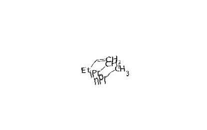 C=CCC.CC(C)C.CCCC